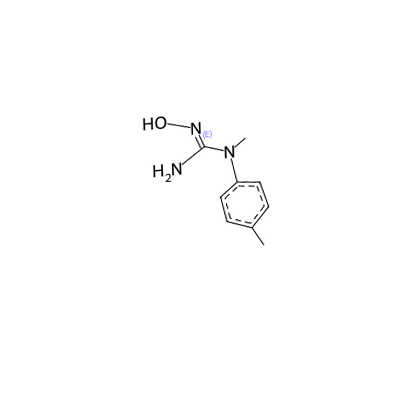 Cc1ccc(N(C)/C(N)=N/O)cc1